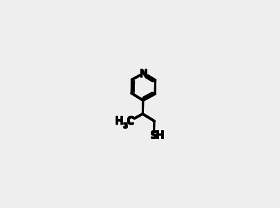 CC(CS)c1ccncc1